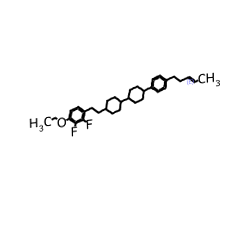 C/C=C/CCc1ccc(C2CCC(C3CCC(CCc4ccc(OCC)c(F)c4F)CC3)CC2)cc1